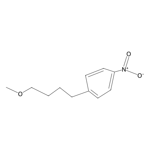 COCCCCc1ccc([N+](=O)[O-])cc1